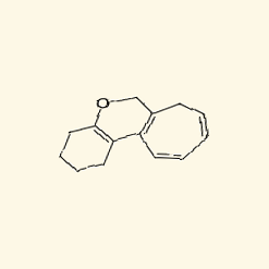 C1=CCC2=C(C=C1)C1=C(CCCC1)OC2